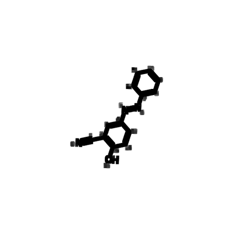 N#Cc1cc(/N=N/c2ccccc2)ccc1O